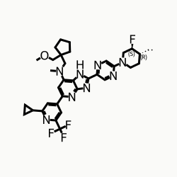 [CH2][C@@H]1CCN(c2cnc(-c3nc4nc(-c5cc(C6CC6)nc(C(F)(F)F)c5)cc(N(C)CC5(COC)CCCC5)c4[nH]3)cn2)C[C@H]1F